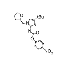 CC(C)(C)c1cn(C[C@H]2CCCO2)/c(=N/C(=O)Oc2ccc([N+](=O)[O-])cc2)s1